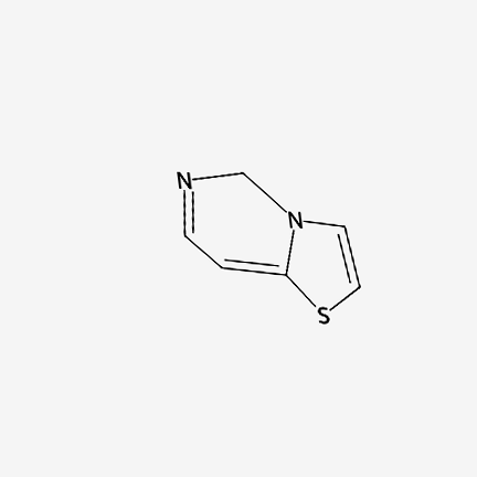 C1=CN2CN=CC=C2S1